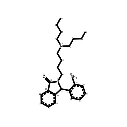 CCCCN(CCCC)CCCCN1C(=O)c2ccccc2C1c1ccccc1N